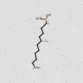 CCCCCCCCCCCCCCCCCCCC[S+](CCC)CCC.[Cl-]